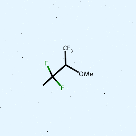 COC(C(C)(F)F)C(F)(F)F